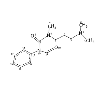 CN(C)CCCN(C)C(=O)N([C]=O)c1ccccc1